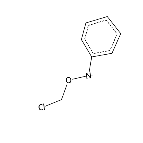 ClCO[N]c1ccccc1